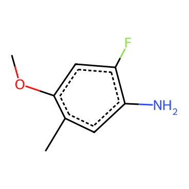 COc1cc(F)c(N)cc1C